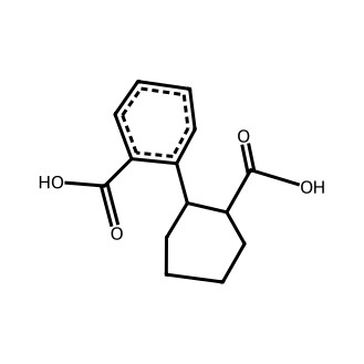 O=C(O)c1ccccc1C1CCCCC1C(=O)O